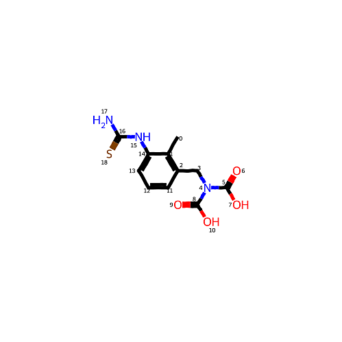 Cc1c(CN(C(=O)O)C(=O)O)cccc1NC(N)=S